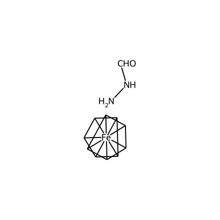 NNC=O.[CH]12[CH]3[CH]4[CH]5[CH]1[Fe]23451678[CH]2[CH]1[CH]6[CH]7[CH]28